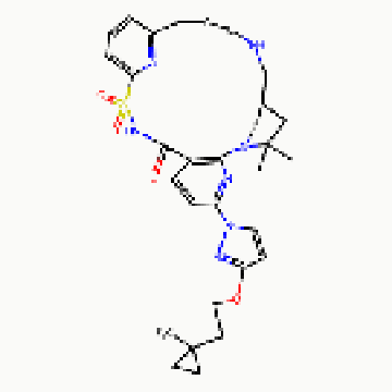 CC1(C)CC2CNCCCc3cccc(n3)S(=O)(=O)NC(=O)c3ccc(-n4ccc(OCCC5(C(F)(F)F)CC5)n4)nc3N1C2